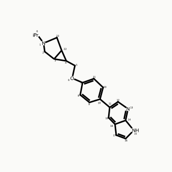 CC(C)N1CC2C(COc3ccc(-c4cnc5[nH]ccc5c4)cc3)C2C1